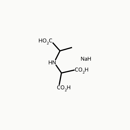 CC(NC(C(=O)O)C(=O)O)C(=O)O.[NaH]